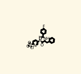 O=C(NC(Cc1ccccc1)C(=O)Nc1ccc(S(=O)(=O)Cl)nc1)c1ccc(F)cc1